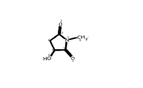 [CH2]N1C(=O)CC(O)C1=O